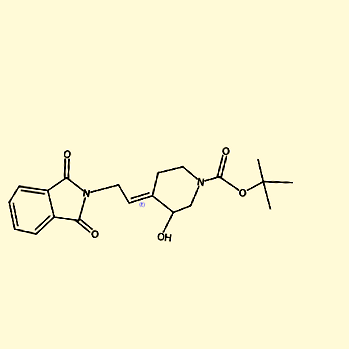 CC(C)(C)OC(=O)N1CC/C(=C\CN2C(=O)c3ccccc3C2=O)C(O)C1